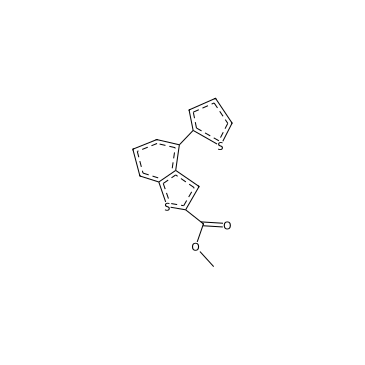 COC(=O)c1cc2c(-c3cccs3)cccc2s1